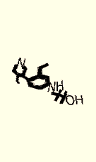 CCc1cc(NCC(C)(C)C(C)(C)O)ccc1-c1cnccc1C